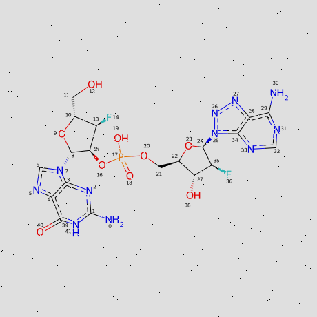 Nc1nc2c(ncn2[C@@H]2O[C@H](CO)[C@@H](F)[C@H]2OP(=O)(O)OC[C@H]2O[C@@H](n3nnc4c(N)ncnc43)[C@@H](F)[C@@H]2O)c(=O)[nH]1